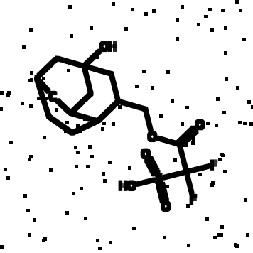 O=C(OCC1CC2(O)CC3CCC1C(C3)C2)C(F)(F)S(=O)(=O)O